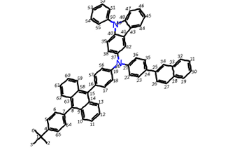 CC(C)(C)c1ccc(-c2c3ccccc3c(-c3ccc(N(c4ccc(-c5ccc6ccccc6c5)cc4)c4ccc5c(c4)c4ccccc4n5-c4ccccc4)cc3)c3ccccc23)cc1